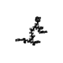 CCCCCCCCCCOC(=O)CCN(CCC(=O)OC)CCN(C)CCCN(C)CCN(CCC(=O)OCCCCCCCCCC)CCC(=O)OCCCCCCCCCC